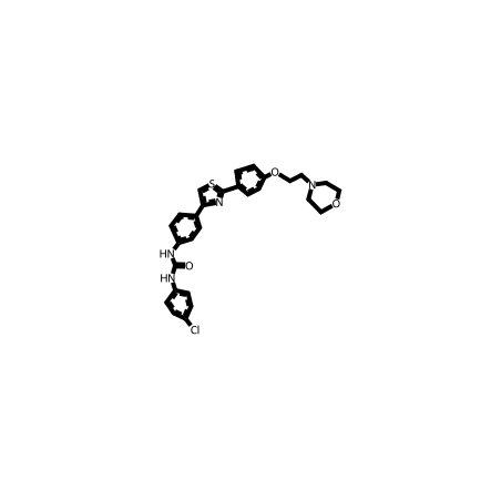 O=C(Nc1ccc(Cl)cc1)Nc1ccc(-c2csc(-c3ccc(OCCN4CCOCC4)cc3)n2)cc1